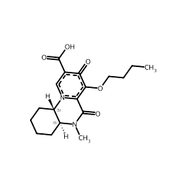 CCCCOc1c2n(cc(C(=O)O)c1=O)[C@H]1CCCC[C@@H]1N(C)C2=O